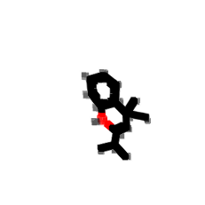 CC(C)C1=CC(C)(C)c2ccccc2O1